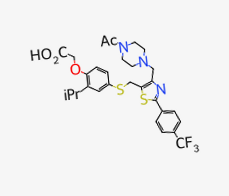 CC(=O)N1CCN(Cc2nc(-c3ccc(C(F)(F)F)cc3)sc2CSc2ccc(OCC(=O)O)c(C(C)C)c2)CC1